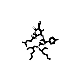 CCCCC(CC)CN(CC(CC)CCCC)c1nc(-c2ccc(C)cc2)c(/N=C2/C(C)=C(C#N)C(=O)n3nc(CCC(C)C)nc32)s1